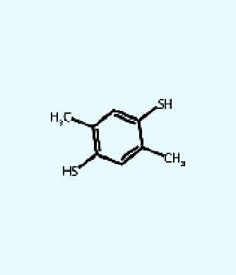 Cc1cc(S)c(C)cc1S